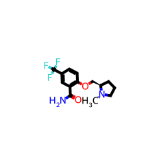 CN1CCC[C@@H]1COc1ccc(C(F)(F)F)cc1C(N)=O